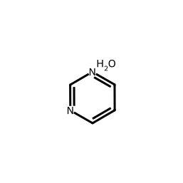 O.c1cncnc1